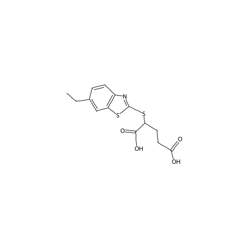 CCc1ccc2nc(SC(CCC(=O)O)C(=O)O)sc2c1